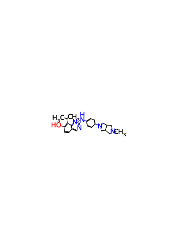 CC(C)c1c(O)ccc2cnc(Nc3ccc(N4CC5CN(C)CC5C4)cc3)nc12